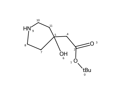 CC(C)(C)OC(=O)CC1(O)CCNCC1